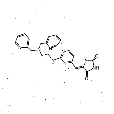 O=C1NC(=O)/C(=C/c2ccnc(NCCN(Cc3ccccn3)Cc3ccccn3)n2)S1